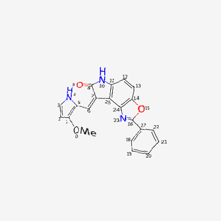 COc1cc[nH]c1/C=C1\C(=O)Nc2ccc3oc(-c4ccccc4)nc3c21